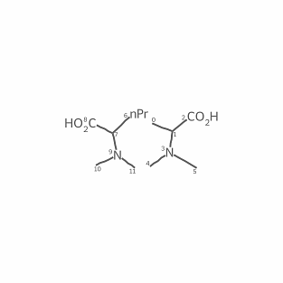 CC(C(=O)O)N(C)C.CCCC(C(=O)O)N(C)C